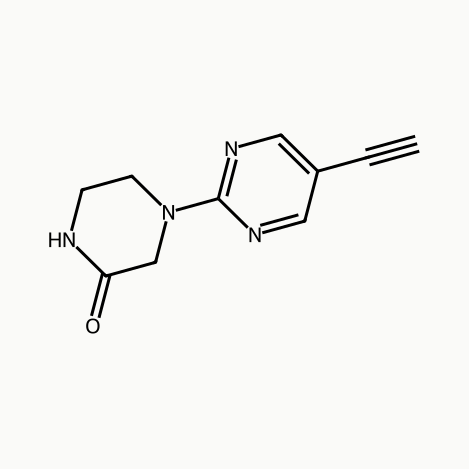 C#Cc1cnc(N2CCNC(=O)C2)nc1